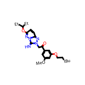 CCC(CC)Oc1ccc2nn(CC(=O)c3cc(OC)cc(OCCC(C)(C)C)c3)c(=N)n2n1